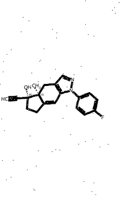 C#C[C@]1(O)CCC2=Cc3c(cnn3-c3ccc(F)cc3)C[C@@]21C